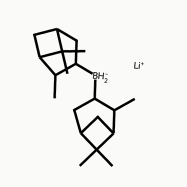 CC1C([BH2-]C2CC3CC(C2C)C3(C)C)CC2CC1C2(C)C.[Li+]